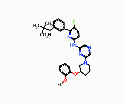 CCOc1ccccc1O[C@@H]1CCCN(c2cncc(Nc3ccc(F)c(-c4cccc(CC(C)(C)C(=O)O)c4)n3)n2)C1